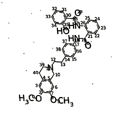 COc1cc2c(cc1OC)CN(CCc1ccc(NC(=O)c3ccccc3NC(=O)c3ccccc3O)cc1)CC2